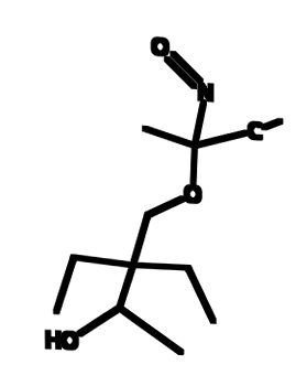 CCC(C)(N=O)OCC(CC)(CC)C(C)O